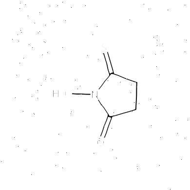 CN1C(=O)CCC1=S